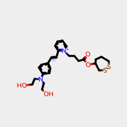 O=C(CCC[n+]1ccccc1/C=C/c1ccc(N(CCO)CCO)cc1)OC1CCCSSC1